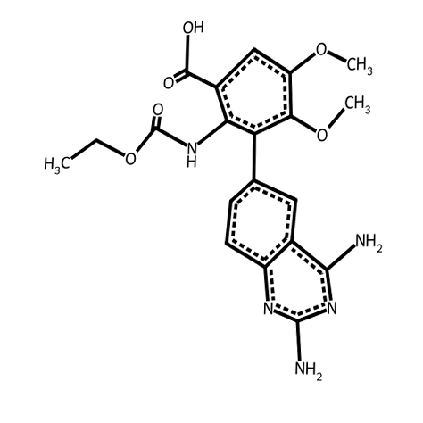 CCOC(=O)Nc1c(C(=O)O)cc(OC)c(OC)c1-c1ccc2nc(N)nc(N)c2c1